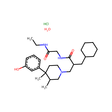 CCNC(=O)CNC(=O)C(CC1CCCCC1)CN1CCC(C)(c2cccc(O)c2)C(C)C1.Cl.O